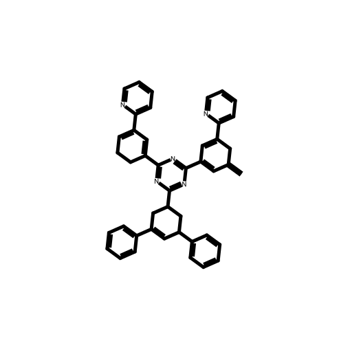 C=C1C=C(c2nc(C3=CC(c4ccccn4)=CCC3)nc(C3CC(c4ccccc4)=CC(c4ccccc4)C3)n2)C=C(c2ccccn2)C1